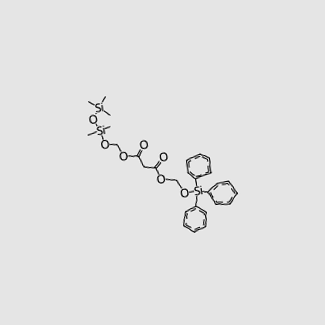 C[Si](C)(C)O[Si](C)(C)OCOC(=O)CC(=O)OCO[Si](c1ccccc1)(c1ccccc1)c1ccccc1